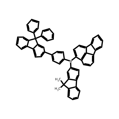 CC1(C)c2ccccc2-c2ccc(N(c3ccc(-c4ccc5c(c4)C(c4ccccc4)(c4ccccc4)c4ccccc4-5)cc3)c3ccc4c5c(cccc35)-c3ccccc3-4)cc21